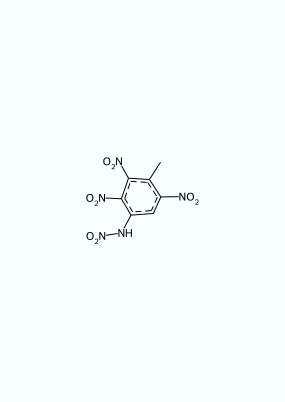 Cc1c([N+](=O)[O-])cc(N[N+](=O)[O-])c([N+](=O)[O-])c1[N+](=O)[O-]